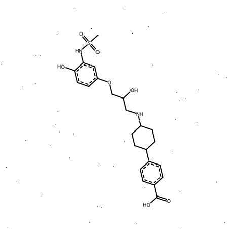 CS(=O)(=O)Nc1cc(OCC(O)CNC2CCC(c3ccc(C(=O)O)cc3)CC2)ccc1O